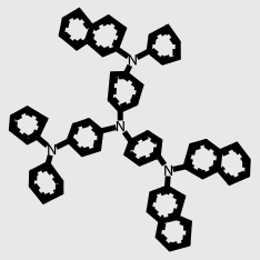 c1ccc(N(c2ccccc2)c2ccc(N(c3ccc(N(c4ccccc4)c4ccc5ccccc5c4)cc3)c3ccc(N(c4ccc5ccccc5c4)c4ccc5ccccc5c4)cc3)cc2)cc1